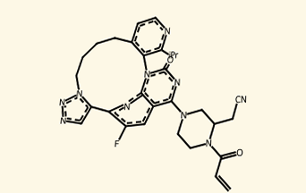 C=CC(=O)N1CCN(c2nc(=O)n3c4nc(c(F)cc24)-c2cnnn2CCCCc2ccnc(C(C)C)c2-3)CC1CC#N